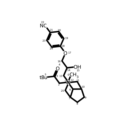 CN(CC(=O)C(C)(C)C)C1C2CCC1CN(CC(O)COc1ccc(C#N)cc1)C2